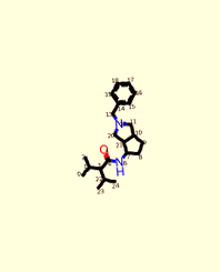 CC(C)C(C(=O)NC1CCC2CN(Cc3ccccc3)CC21)C(C)C